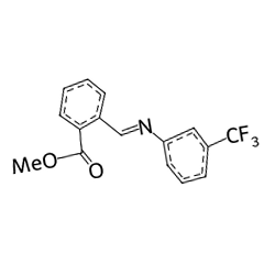 COC(=O)c1ccccc1C=Nc1cccc(C(F)(F)F)c1